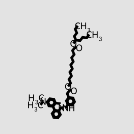 CCCCC(CCCC)OC(=O)CCCCCCCCCCOC(=O)Cc1cccc(NN2Cc3ccc(N(C)C)cc3-c3ccccc32)c1